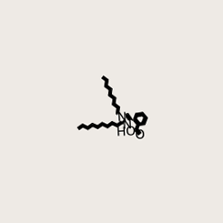 CCCCCCCCCc1nccn1CCCCCCCCC.O=C(O)c1ccccc1